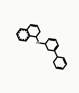 C1=CCC(C2=CC=CC(NC3CC=Cc4ccccc43)C2)C=C1